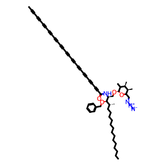 CC#CC#CC#CC#CC#CC#CC#CC#CC#CC#CC#CC#CC(=O)N[C@@H](CO[C@H]1OC(CN=[N+]=[N-])[C@H](C)[C@H](C)C1C)[C@H](OCc1ccccc1)[C@H](C)CCCCCCCCCCCCCC